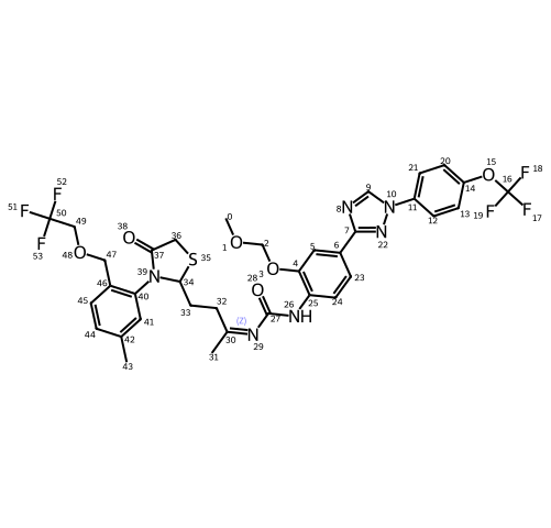 COCOc1cc(-c2ncn(-c3ccc(OC(F)(F)F)cc3)n2)ccc1NC(=O)/N=C(/C)CCC1SCC(=O)N1c1cc(C)ccc1COCC(F)(F)F